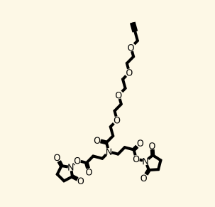 C#CCOCCOCCOCCOCCC(=O)N(CCC(=O)ON1C(=O)CCC1=O)CCC(=O)ON1C(=O)CCC1=O